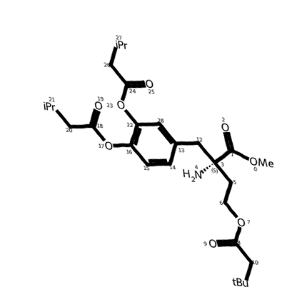 COC(=O)[C@@](N)(CCOC(=O)CC(C)(C)C)Cc1ccc(OC(=O)CC(C)C)c(OC(=O)CC(C)C)c1